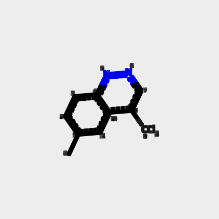 Cc1ccc2nncc(C(Cl)(Cl)Cl)c2c1